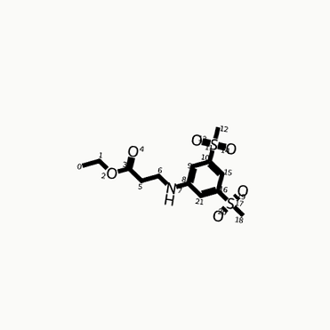 CCOC(=O)CCNc1cc(S(C)(=O)=O)cc(S(C)(=O)=O)c1